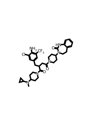 CN(C1CC1)C1CCN(C(=O)C(CC(=O)N2CCC(N3CCc4ccccc4NC3=O)CC2)Cc2cc(Cl)c(N)c(C(F)(F)F)c2)CC1